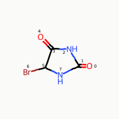 O=C1NC(=O)C(Br)N1